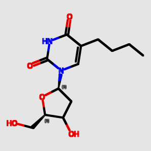 CCCCc1cn([C@H]2CC(O)[C@@H](CO)O2)c(=O)[nH]c1=O